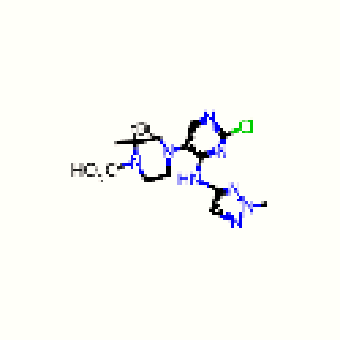 Cn1ncc(Nc2nc(Cl)ncc2N2CCN(C(=O)O)C(C)(C(C)(C)C)C2)n1